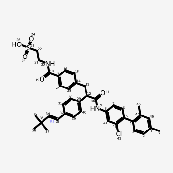 Cc1ccc(-c2ccc(NC(=O)C(Cc3ccc(C(=O)NCCS(=O)(=O)O)cc3)c3ccc(/C=C/C(C)(C)C)cc3)cc2Cl)c(C)c1